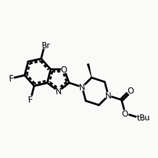 C[C@H]1CN(C(=O)OC(C)(C)C)CCN1c1nc2c(F)c(F)cc(Br)c2o1